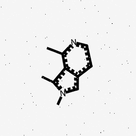 Cc1nccc2cn(C)c(C)c12